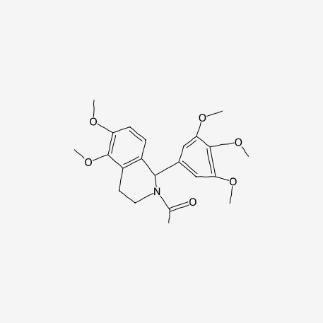 COc1cc(C2c3ccc(OC)c(OC)c3CCN2C(C)=O)cc(OC)c1OC